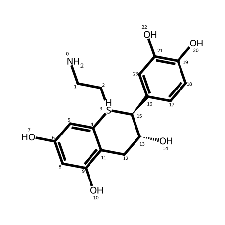 NCC[SH]1c2cc(O)cc(O)c2C[C@@H](O)[C@@H]1c1ccc(O)c(O)c1